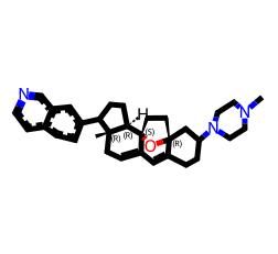 CN1CCN(C2CCC3=CC4=CC[C@]5(C)C(c6ccc7ccncc7c6)CC[C@H]5[C@@]45CC[C@]3(C2)O5)CC1